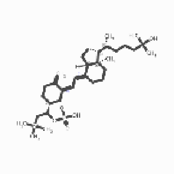 C=C1CC[C@H](C(C[N+](C)(C)C)OP(=O)([O-])O)C/C1=C/C=C1\CCC[C@]2(C)[C@@H]([C@H](C)CCCC(C)(C)O)CC[C@@H]12